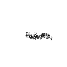 C[S+]([O-])c1ccc(N2CCc3c(OC4CCN(C(=O)OC(C)(C)C)CC4)cccc32)cc1